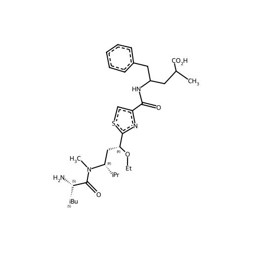 CCO[C@H](C[C@H](C(C)C)N(C)C(=O)[C@@H](N)[C@@H](C)CC)c1nc(C(=O)NC(Cc2ccccc2)CC(C)C(=O)O)cs1